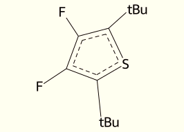 CC(C)(C)c1sc(C(C)(C)C)c(F)c1F